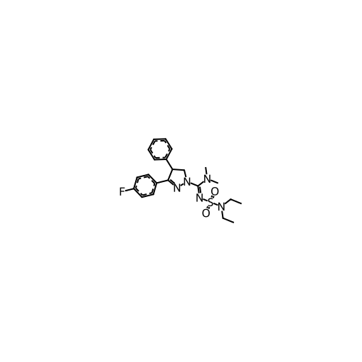 CCN(CC)S(=O)(=O)/N=C(\N(C)C)N1CC(c2ccccc2)C(c2ccc(F)cc2)=N1